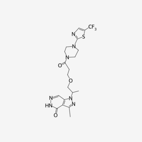 Cc1nn(C(C)COCCC(=O)N2CCN(c3ncc(C(F)(F)F)s3)CC2)c2cn[nH]c(=O)c12